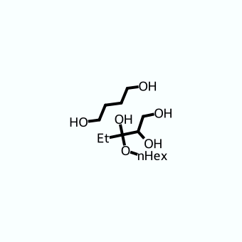 CCCCCCOC(O)(CC)C(O)CO.OCCCCO